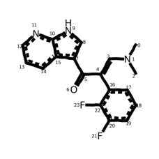 CN(C)C=C(C(=O)c1c[nH]c2ncccc12)c1cccc(F)c1F